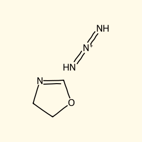 C1=NCCO1.N=[N+]=N